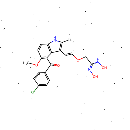 COc1ccc2[nH]c(C)c(C=COCC(=NO)NO)c2c1C(=O)c1ccc(Cl)cc1